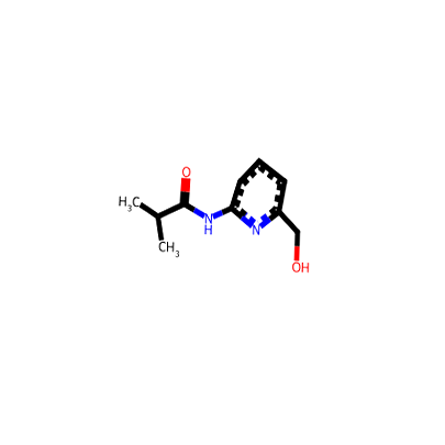 CC(C)C(=O)Nc1cccc(CO)n1